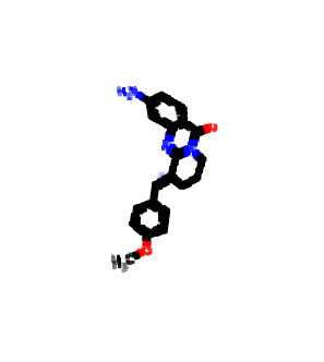 COc1ccc(/C=C2\CCCn3c2nc2cc(N)ccc2c3=O)cc1